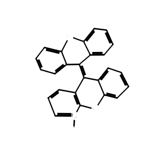 C[n+]1cccc2c1Oc1ccccc1C2=C1c2ccccc2Oc2ccccc21